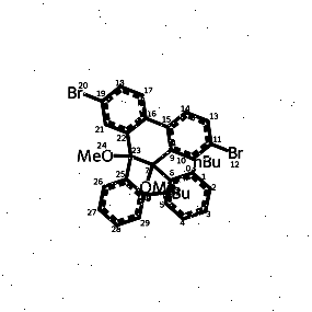 CCCCc1ccccc1C1(OC)c2cc(Br)ccc2-c2ccc(Br)cc2C1(OC)c1ccccc1CCCC